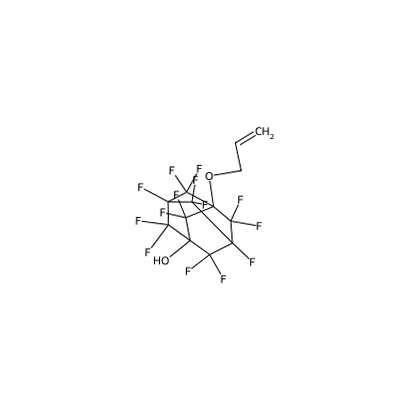 C=CCOC12C(F)(F)C3(O)C(F)(F)C(F)(C(F)(F)C(F)(C3(F)F)C1(F)F)C2(F)F